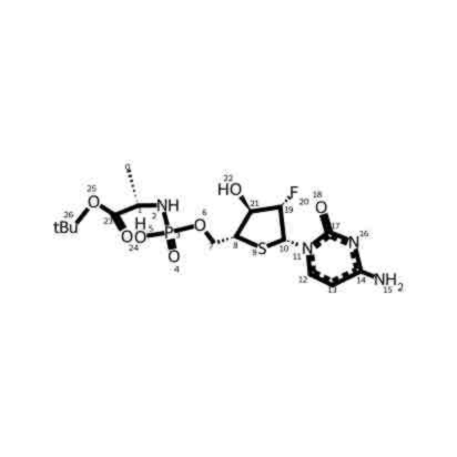 C[C@H](NP(=O)(O)OC[C@H]1S[C@@H](n2ccc(N)nc2=O)[C@@H](F)[C@@H]1O)C(=O)OC(C)(C)C